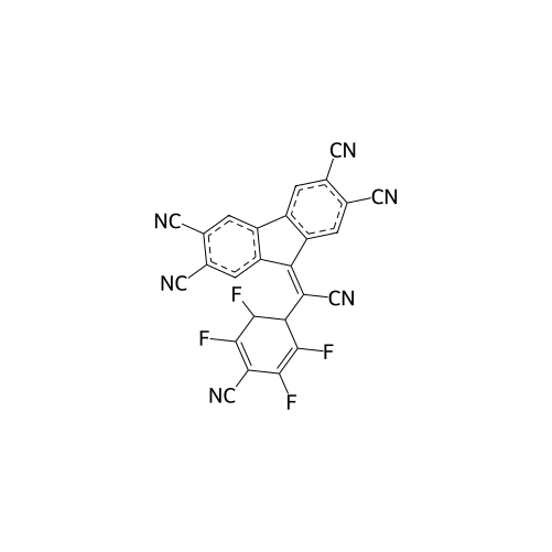 N#CC1=C(F)C(F)C(C(C#N)=C2c3cc(C#N)c(C#N)cc3-c3cc(C#N)c(C#N)cc32)C(F)=C1F